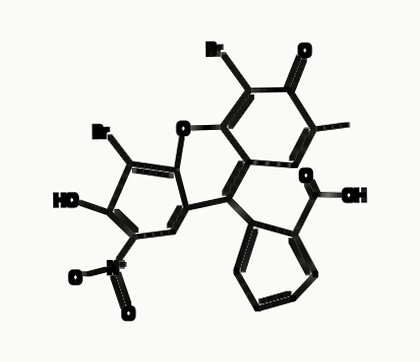 Cc1cc2c(-c3ccccc3C(=O)O)c3cc([N+](=O)[O-])c(O)c(Br)c3oc-2c(Br)c1=O